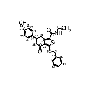 CCNC(=O)c1sc(SCc2ccccc2)c2c1CC(c1ccc(OC)cc1)CC2=O